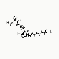 CCCCCCCCN(CC)CC(O)COCCCC(C)C